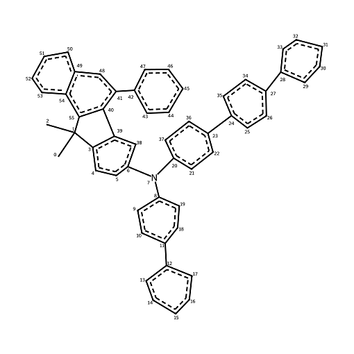 CC1(C)c2ccc(N(c3ccc(-c4ccccc4)cc3)c3ccc(-c4ccc(-c5ccccc5)cc4)cc3)cc2-c2c(-c3ccccc3)cc3ccccc3c21